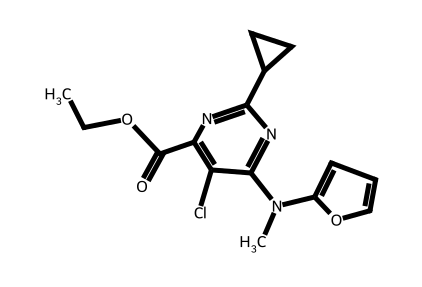 CCOC(=O)c1nc(C2CC2)nc(N(C)c2ccco2)c1Cl